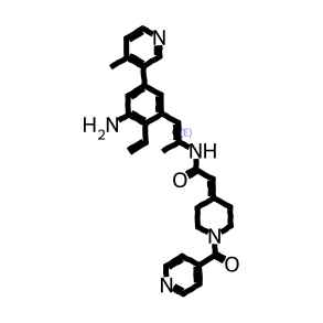 C=Cc1c(N)cc(-c2cnccc2C)cc1/C=C(\C)NC(=O)C=C1CCN(C(=O)c2ccncc2)CC1